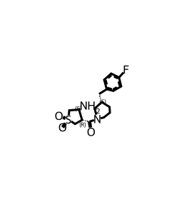 N[C@@H]1CS(=O)(=O)C[C@H]1C(=O)N1CCC[C@@H](Cc2ccc(F)cc2)C1